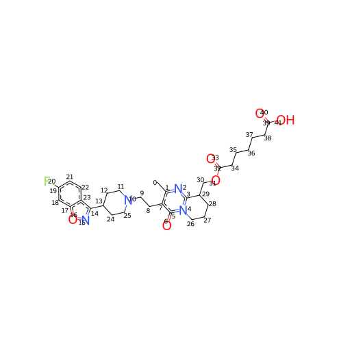 Cc1nc2n(c(=O)c1CCN1CCC(c3noc4cc(F)ccc34)CC1)CCCC2COC(=O)CCCCCC(=O)O